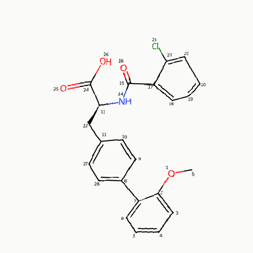 COc1ccccc1-c1ccc(C[C@H](NC(=O)c2ccccc2Cl)C(=O)O)cc1